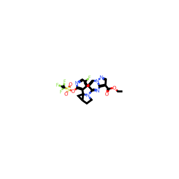 CCOC(=O)c1cnn2ccc(N3CCC4CC43c3cc(F)cnc3OS(=O)(=O)C(F)(F)F)nc12